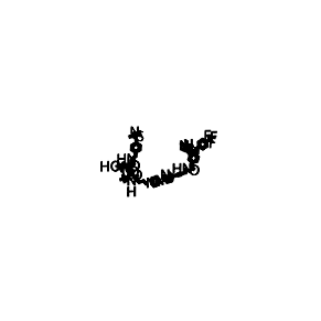 Cc1ncsc1-c1ccc(CNC(=O)C2C[C@@H](O)CN2C(=O)[C@@H](NC(=O)CCCN2CCN(c3ccc(C#CCNC(=O)c4ccc5c(c4)c4cn(C)nc4n5-c4ccc(C(F)(F)F)cc4)cn3)CC2)C(C)(C)C)cc1